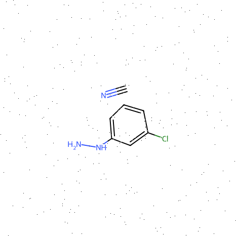 C#N.NNc1cccc(Cl)c1